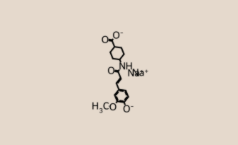 COc1cc(/C=C/C(=O)NC2CCC(C(=O)[O-])CC2)ccc1[O-].[Na+].[Na+]